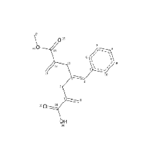 C=C(CC(=Cc1ccccc1)CC(=C)C(=O)OC)C(=O)O